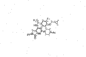 CC(=O)N1CCN(c2nc(NC(C)c3ccc(OCC4CC4)c(F)c3)c3c(n2)C(=O)N(C(C)C)C3)CC1